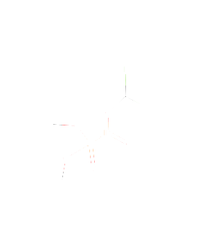 COP(=O)(OC)[PH](=O)OC(F)F